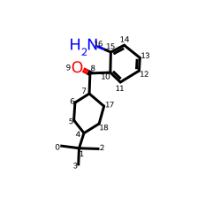 CC(C)(C)C1CCC(C(=O)c2ccccc2N)CC1